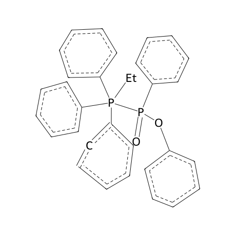 CCP(c1ccccc1)(c1ccccc1)(c1ccccc1)P(=O)(Oc1ccccc1)c1ccccc1